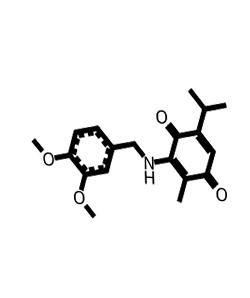 COc1ccc(CNC2=C(C)C(=O)C=C(C(C)C)C2=O)cc1OC